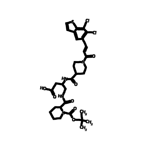 CC(C)(C)OC(=O)N1CCCCC1C(=O)NCC(CC(=O)O)NC(=O)C1CCN(C(=O)C=Cc2cc3ccsc3c(Cl)c2Cl)CC1